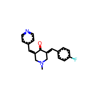 CN1CC(=Cc2ccncc2)C(=O)/C(=C/c2ccc(F)cc2)C1